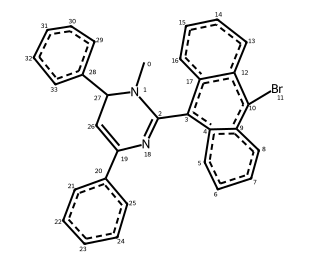 CN1C(c2c3ccccc3c(Br)c3ccccc23)=NC(c2ccccc2)=CC1c1ccccc1